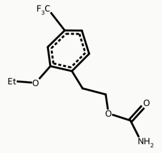 CCOc1cc(C(F)(F)F)ccc1CCOC(N)=O